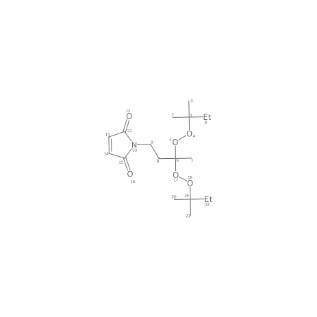 CCC(C)(C)OOC(C)(CCN1C(=O)C=CC1=O)OOC(C)(C)CC